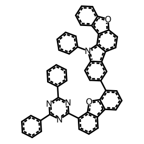 c1ccc(-c2nc(-c3ccccc3)nc(-c3cccc4c3oc3c(-c5ccc6c(c5)c5ccc7oc8ccccc8c7c5n6-c5ccccc5)cccc34)n2)cc1